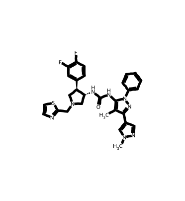 Cc1c(-c2cnn(C)c2)nn(-c2ccccc2)c1NC(=O)N[C@@H]1CN(Cc2nccs2)C[C@H]1c1ccc(F)c(F)c1